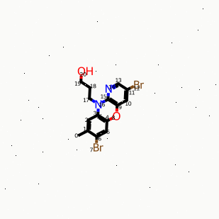 Cc1cc2c(cc1Br)Oc1cc(Br)cnc1N2CCCO